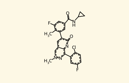 Cc1c(F)cc(C(=O)NC2CC2)cc1-c1cc2cn(C)nc(-c3cc(F)ccc3Cl)c-2nc1=O